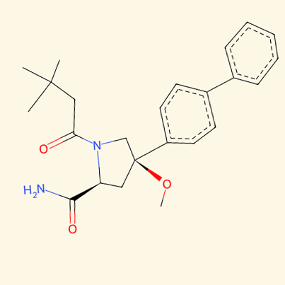 CO[C@@]1(c2ccc(-c3ccccc3)cc2)C[C@@H](C(N)=O)N(C(=O)CC(C)(C)C)C1